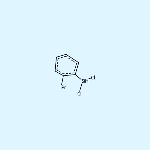 CC(C)c1ccccc1[SiH](Cl)Cl